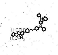 CC1(C)C2=C(c3ccccc31)C(C)(C)c1cc(-c3ccc(/C=C/c4ccc(N(c5ccccc5)c5ccc6c(c5)c5ccccc5n6-c5ccccc5)cc4)cc3)ccc12